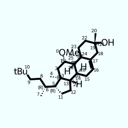 CO[C@H]1C[C@]2(C)[C@@H]([C@H](C)CCC(C)(C)C)CC[C@H]2[C@@H]2CC=C3C[C@@](C)(O)CC[C@]3(C)[C@H]21